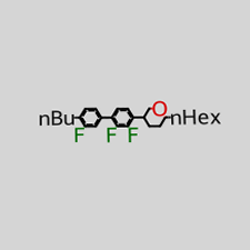 CCCCCCC1CCC(c2ccc(-c3ccc(CCCC)c(F)c3)c(F)c2F)CO1